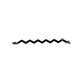 CCCCCCCCCCCCCCCCCCO[N+](=O)[O-]